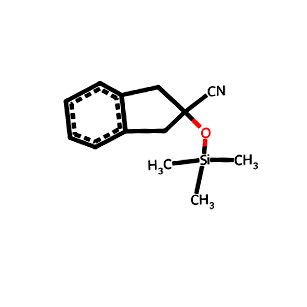 C[Si](C)(C)OC1(C#N)Cc2ccccc2C1